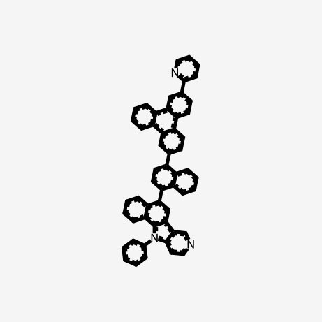 c1ccc(-n2c3ccncc3c3cc(-c4ccc(-c5ccc6c7ccc(-c8ccccn8)cc7c7ccccc7c6c5)c5ccccc45)c4ccccc4c32)cc1